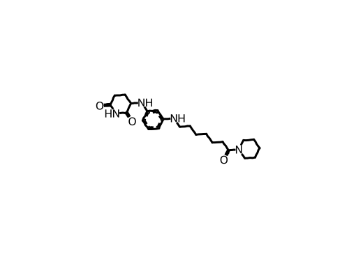 O=C1CCC(Nc2cccc(NCCCCCCC(=O)N3CCCCC3)c2)C(=O)N1